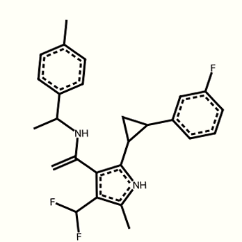 C=C(NC(C)c1ccc(C)cc1)c1c(C2CC2c2cccc(F)c2)[nH]c(C)c1C(F)F